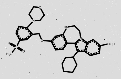 CS(=O)(=O)c1ccc(N2CCOCC2)c(COc2ccc3c(c2)NCCn2c-3c(C3CCCCC3)c3ccc(C(=O)O)cc32)c1